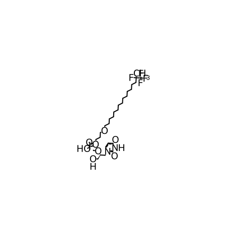 CC(F)(CCCCCCCCCCCCCCOCCCOP(=O)(O)CO[C@H](CO)Cn1ccc(=O)[nH]c1=O)C(F)(F)F